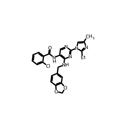 CCc1nc(C)cn1-c1ncc(NC(=O)c2ccccc2Cl)c(NCc2ccc3c(c2)OCO3)n1